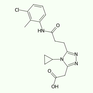 Cc1c(Cl)cccc1NC(=O)CCc1nnc(CC(=O)O)n1C1CC1